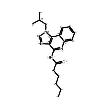 CCCCCC(=O)Nc1nc2ccccc2c2c1ncn2CC(C)C